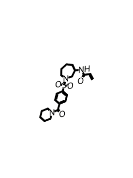 C=CC(=O)NC1CCCCN(S(=O)(=O)c2ccc(C(=O)N3CCCCC3)cc2)C1